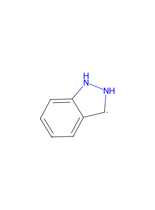 [CH]1NNc2ccccc21